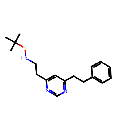 CC(C)(C)ONCCc1cc(CCc2ccccc2)ncn1